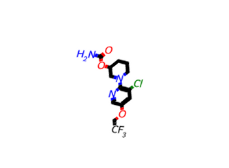 NC(=O)OC1CCCN(c2ncc(OCC(F)(F)F)cc2Cl)C1